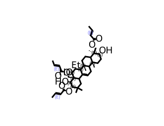 C/C=C/C(=O)OC[C@@]12C(CC(C)(C)[C@@H](OC(=O)/C=C/C)[C@@H]1O)C1=CCC3[C@@]4(C)CC[C@H](O)[C@](C)(COC(=O)/C=C/C)C4CC[C@@]3(C)[C@]1(CC)C[C@H]2O